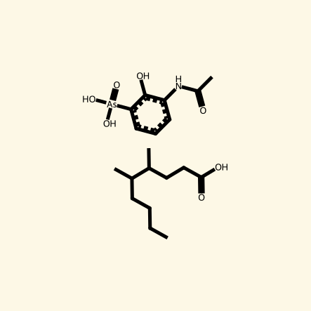 CC(=O)Nc1cccc([As](=O)(O)O)c1O.CCCCC(C)C(C)CCC(=O)O